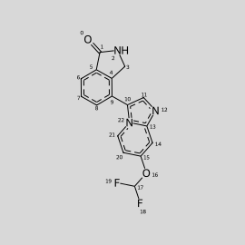 O=C1NCc2c1cccc2-c1cnc2cc(OC(F)F)ccn12